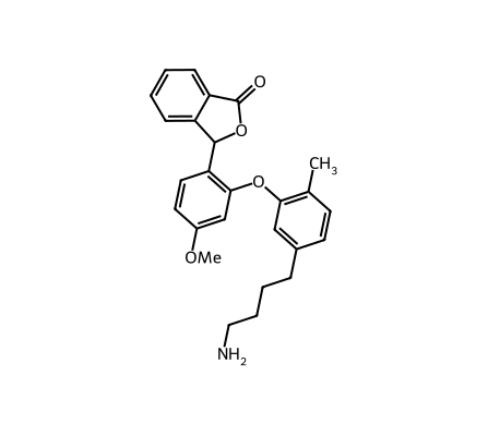 COc1ccc(C2OC(=O)c3ccccc32)c(Oc2cc(CCCCN)ccc2C)c1